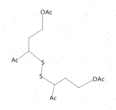 CC(=O)OCCC(SSC(CCOC(C)=O)C(C)=O)C(C)=O